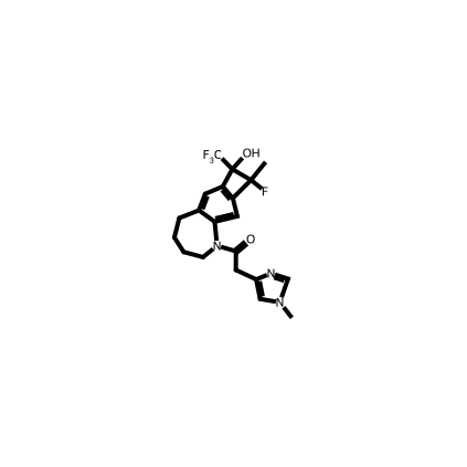 Cn1cnc(CC(=O)N2CCCCc3cc4c(cc32)C(C)(F)C4(O)C(F)(F)F)c1